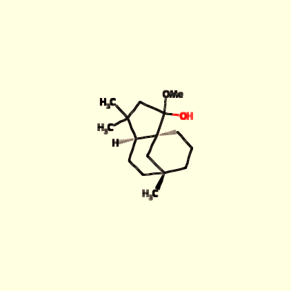 COC1(O)CC(C)(C)[C@@H]2CC[C@@]3(C)CCC[C@]21C3